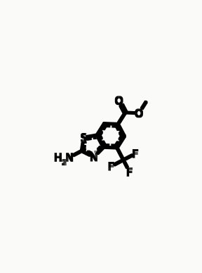 COC(=O)c1cc(C(F)(F)F)c2nc(N)sc2c1